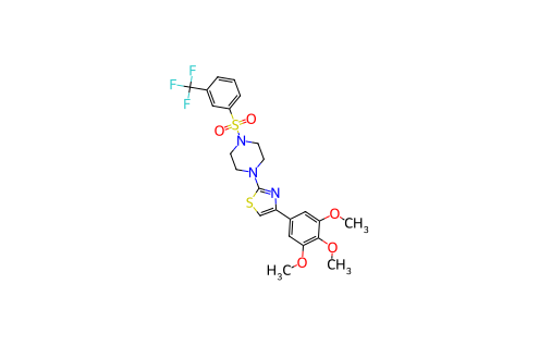 COc1cc(-c2csc(N3CCN(S(=O)(=O)c4cccc(C(F)(F)F)c4)CC3)n2)cc(OC)c1OC